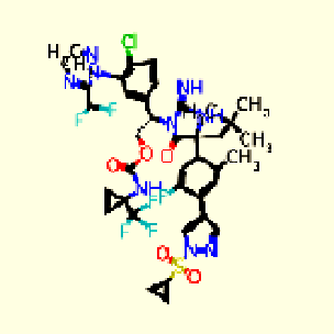 C=NN(/C(=N\C)C(F)F)c1cc([C@@H](COC(=O)NC2(C(F)(F)F)CC2)N2C(=N)N[C@](CC(C)(C)C)(C3C=C(F)C(c4cnn(S(=O)(=O)C5CC5)c4)=CC3C)C2=O)ccc1Cl